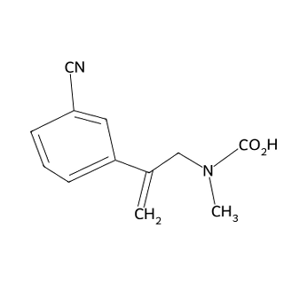 C=C(CN(C)C(=O)O)c1cccc(C#N)c1